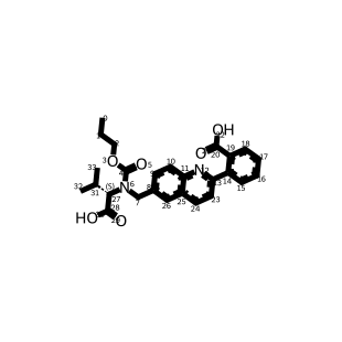 CCCOC(=O)N(Cc1ccc2nc(-c3ccccc3C(=O)O)ccc2c1)[C@H](C(=O)O)C(C)C